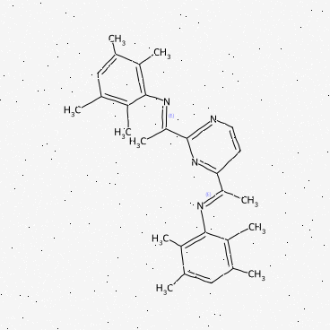 C/C(=N\c1c(C)c(C)cc(C)c1C)c1ccnc(/C(C)=N/c2c(C)c(C)cc(C)c2C)n1